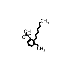 CCCCCCCc1c(CC)cccc1OC(=O)O